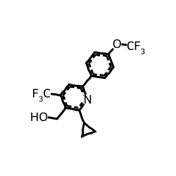 OCc1c(C(F)(F)F)cc(-c2ccc(OC(F)(F)F)cc2)nc1C1CC1